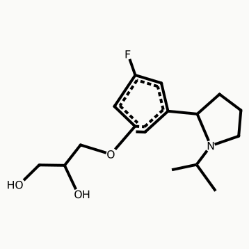 CC(C)N1CCCC1c1cc(F)cc(OCC(O)CO)c1